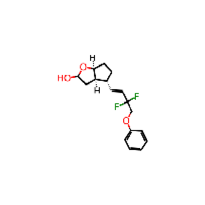 OC1C[C@H]2[C@H](CC[C@@H]2/C=C/C(F)(F)COc2ccccc2)O1